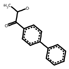 [CH2]C([O])C(=O)c1ccc(-c2ccccc2)cc1